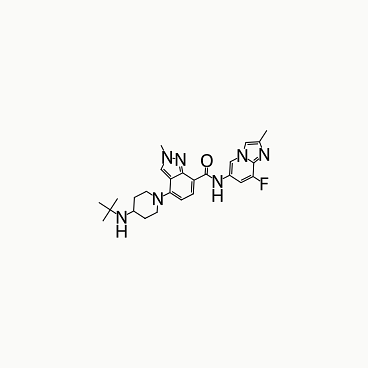 Cc1cn2cc(NC(=O)c3ccc(N4CCC(NC(C)(C)C)CC4)c4cn(C)nc34)cc(F)c2n1